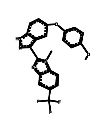 COc1ccc(Oc2ccc3[nH]nc(-c4nc5cc(C(F)(F)F)ccc5n4C)c3c2)cc1